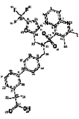 Cc1nc2cccnc2c(S(=O)(=O)N(Cc2ccc(-c3cccc(C(C)(C)C(=O)O)c3)cc2)Cc2ccc(C(F)(F)F)o2)c1C